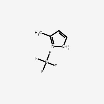 CC1=N[NH2+]C=C1.F[B-](F)(F)F